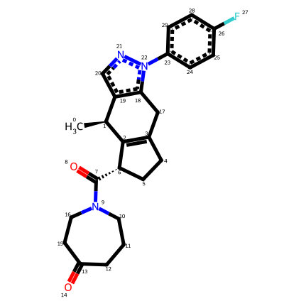 C[C@@H]1C2=C(CC[C@@H]2C(=O)N2CCCC(=O)CC2)Cc2c1cnn2-c1ccc(F)cc1